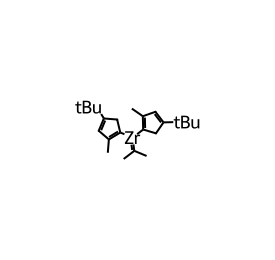 CC1=[C]([Zr]([C]2=C(C)C=C(C(C)(C)C)C2)=[C](C)C)CC(C(C)(C)C)=C1